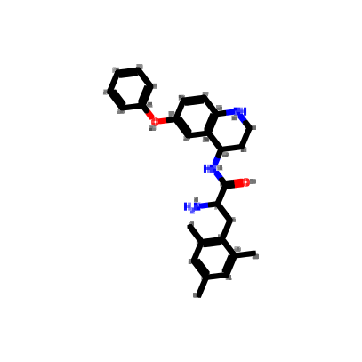 Cc1cc(C)c(CC(N)C(=O)NC2CCNc3ccc(Oc4ccccc4)cc32)c(C)c1